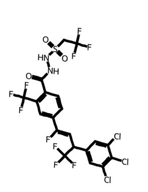 O=C(NNS(=O)(=O)CC(F)(F)F)c1ccc(/C(F)=C/C(c2cc(Cl)c(Cl)c(Cl)c2)C(F)(F)F)cc1C(F)(F)F